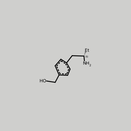 CC[C@H](N)Cc1ccc(CO)cc1